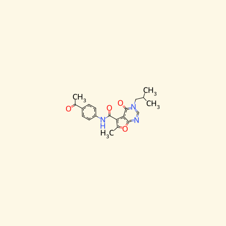 CC(=O)c1ccc(NC(=O)c2c(C)oc3ncn(CC(C)C)c(=O)c23)cc1